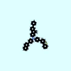 CC1(C)c2cc(-c3ccccc3)ccc2-c2ccc(N(c3ccc(-c4ccc5ccccc5c4)cc3)c3ccc(-c4ccc5sc6ccccc6c5c4)cc3)cc21